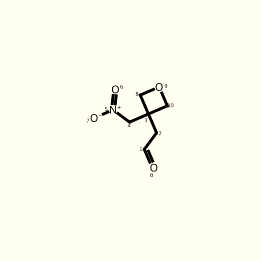 O=CCC1(C[N+](=O)[O-])COC1